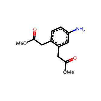 COC(=O)Cc1ccc(N)cc1CC(=O)OC